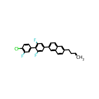 C=CCCc1ccc2cc(-c3cc(F)c(-c4ccc(Cl)c(F)c4)c(F)c3)ccc2c1